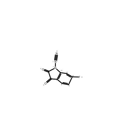 N#[N+]N1C(=O)C(=O)c2ccc(F)cc21